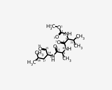 COC(=O)NC(C(=O)NC(C)C(=O)NC(C=O)CC(C)C)C(C)C